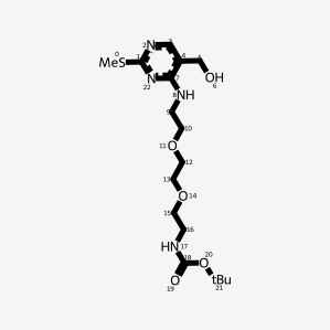 CSc1ncc(CO)c(NCCOCCOCCNC(=O)OC(C)(C)C)n1